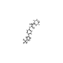 O=C(Cc1ccc(-c2noc(C(F)(F)F)n2)cc1)NN1CCOCC1